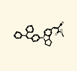 CNC(=O)C(C#N)=Cc1ccc2c(c1)C1CCCC1N2c1ccc(C=C(c2ccccc2)c2ccccc2)cc1